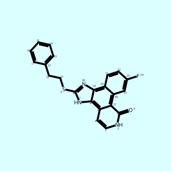 O=c1[nH]ccc2c3[nH]c(SCCc4ccccc4)nc3c3ccc(F)cc3c12